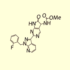 COC(=O)NC1C(=O)Nc2nc(-c3nn(Cc4ccccc4F)c4ncccc34)ncc21